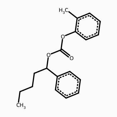 CCCCC(OC(=O)Oc1ccccc1C)c1ccccc1